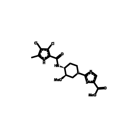 COC(=O)c1cnc(N2CC[C@@H](NC(=O)c3[nH]c(C)c(Cl)c3Cl)[C@H](OC)C2)s1